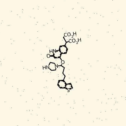 O=C(O)CC(C(=O)O)c1ccc2c(OC(CCCc3cccc4sccc34)N3CCNCC3)cc(=O)[nH]c2c1